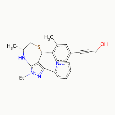 CCn1nc(-c2ccccn2)c2c1N[C@H](C)CS[C@@H]2c1ccc(C#CCO)cc1C